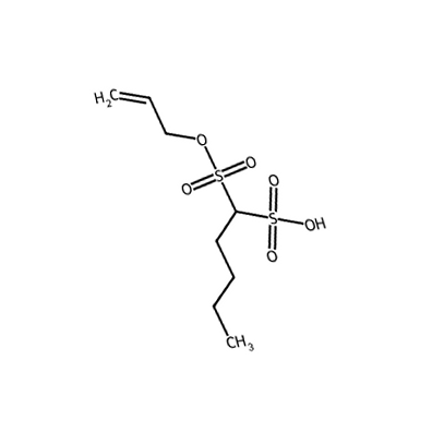 C=CCOS(=O)(=O)C(CCCC)S(=O)(=O)O